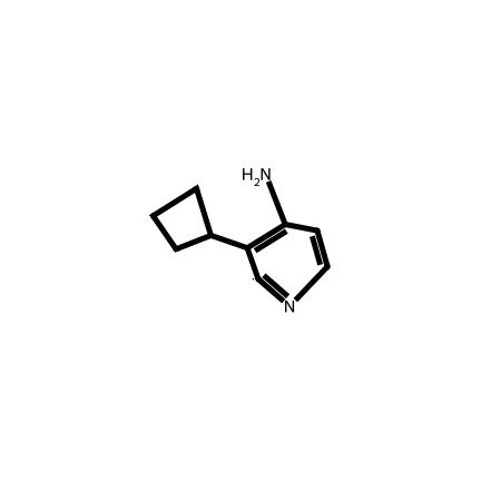 Nc1ccn[c]c1C1CCC1